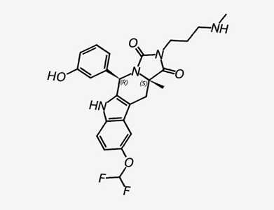 CNCCCN1C(=O)N2[C@H](c3cccc(O)c3)c3[nH]c4ccc(OC(F)F)cc4c3C[C@@]2(C)C1=O